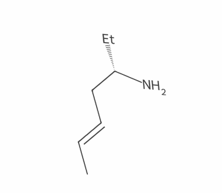 C/C=C/C[C@@H](N)CC